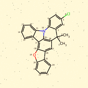 CC1(C)c2cc(Cl)ccc2-n2c3ccccc3c3c4oc5ccccc5c4cc1c32